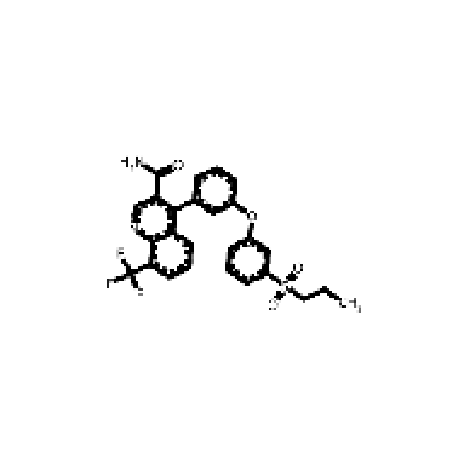 CCCS(=O)(=O)c1cccc(Oc2cccc(-c3c(C(N)=O)cnc4c(C(F)(F)F)cccc34)c2)c1